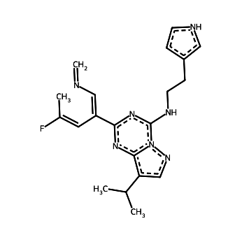 C=N/C=C(\C=C(/C)F)c1nc(NCCc2cc[nH]c2)n2ncc(C(C)C)c2n1